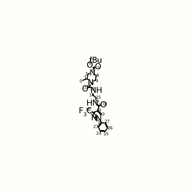 CC1CN(C(=O)OC(C)(C)C)CCN1C(=O)NCCNC(=O)c1cn(-c2ccccc2)nc1C(F)(F)F